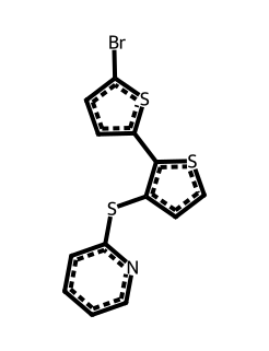 Brc1ccc(-c2sccc2Sc2ccccn2)s1